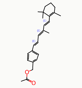 CC(=O)OCc1ccc(/C=C/C=C(C)/C=C/C2=C(C)CCCC2(C)C)cc1